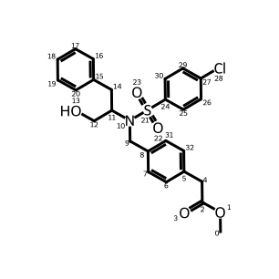 COC(=O)Cc1ccc(CN(C(CO)Cc2ccccc2)S(=O)(=O)c2ccc(Cl)cc2)cc1